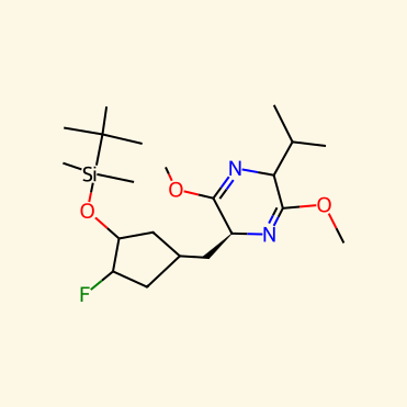 COC1=N[C@@H](CC2CC(F)C(O[Si](C)(C)C(C)(C)C)C2)C(OC)=NC1C(C)C